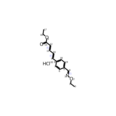 CCO/N=C/c1ccc(/C=C/C=C/C(=O)OCC)cc1.Cl